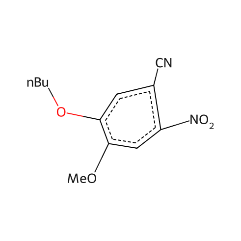 CCCCOc1cc(C#N)c([N+](=O)[O-])cc1OC